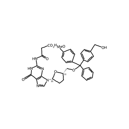 COc1ccc(C(OC[C@@H]2CC[C@H](n3cnc4c(=O)[nH]c(NC(=O)CC(=O)O)nc43)O2)(c2ccccc2)c2ccc(CO)cc2)cc1